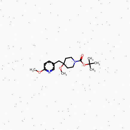 COc1ccc(CC2(OC)CCN(C(=O)OC(C)(C)C)CC2)cn1